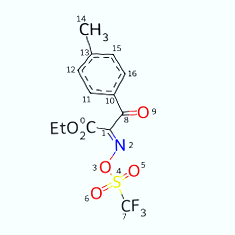 CCOC(=O)/C(=N\OS(=O)(=O)C(F)(F)F)C(=O)c1ccc(C)cc1